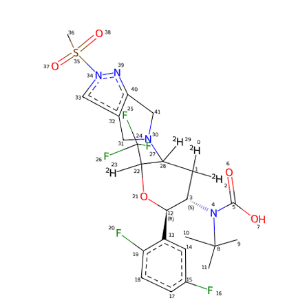 [2H]C1([2H])[C@H](N(C(=O)O)C(C)(C)C)[C@@H](c2cc(F)ccc2F)OC([2H])(C(F)(F)F)C1([2H])N1Cc2cn(S(C)(=O)=O)nc2C1